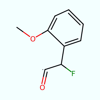 COc1ccccc1C(F)[C]=O